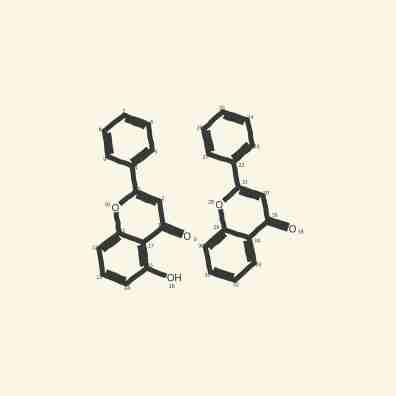 O=c1cc(-c2ccccc2)oc2cccc(O)c12.O=c1cc(-c2ccccc2)oc2ccccc12